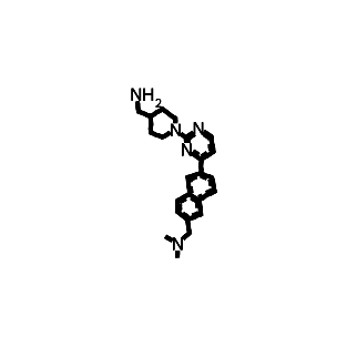 CN(C)Cc1ccc2cc(-c3ccnc(N4CCC(CN)CC4)n3)ccc2c1